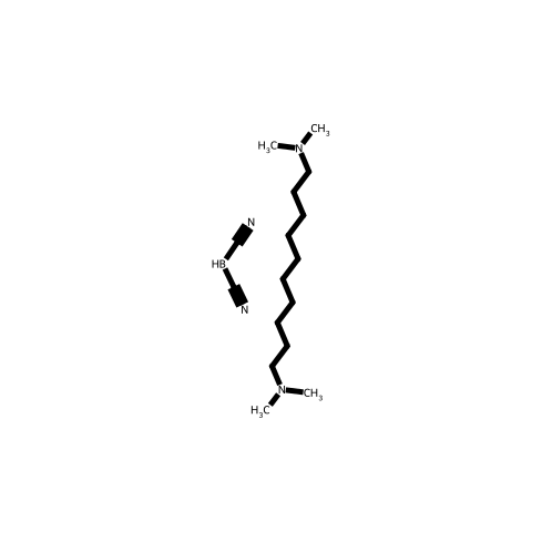 CN(C)CCCCCCCCCCN(C)C.N#CBC#N